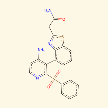 NC(=O)Cc1nc2c(-c3c(N)ccnc3S(=O)(=O)c3ccccc3)cccc2s1